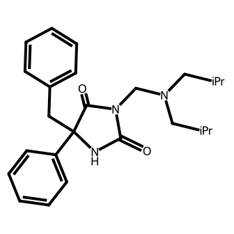 CC(C)CN(CC(C)C)CN1C(=O)NC(Cc2ccccc2)(c2ccccc2)C1=O